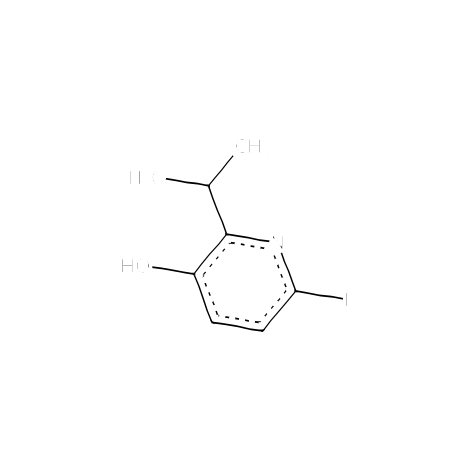 CC(C)c1nc(I)ccc1O